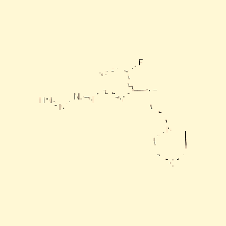 N=NN=Nc1ncc(F)c(NCCN2CCOCC2)n1